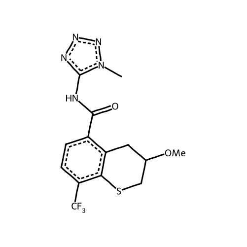 COC1CSc2c(C(F)(F)F)ccc(C(=O)Nc3nnnn3C)c2C1